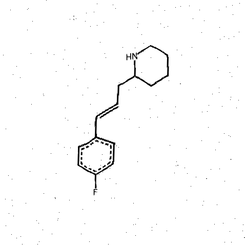 Fc1ccc(/C=C/CC2CCCCN2)cc1